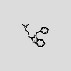 CN(C)CCSc1nc2ccccc2n1Cc1ccccc1